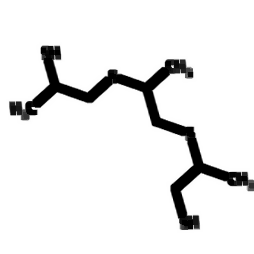 CC(S)CSC(C)CSC(C)CS